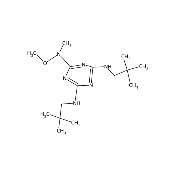 CON(C)c1nc(NCC(C)(C)C)nc(NCC(C)(C)C)n1